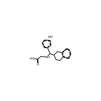 Cl.O=C(O)CNC(c1ccccc1)C1CCc2ccccc2C1